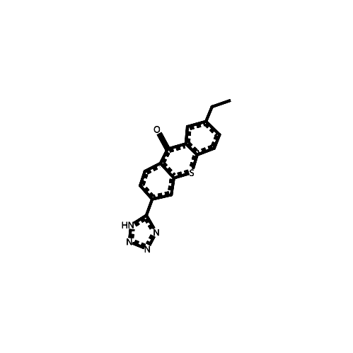 CCc1ccc2sc3cc(-c4nnn[nH]4)ccc3c(=O)c2c1